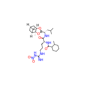 CC(C)C[C@H](NC(=O)[C@H](CCCNC(=N)N[N+](=O)[O-])NC(=O)C1CCCCC1C)B1O[C@@H]2C[C@@H]3C[C@@H](C3(C)C)[C@]2(C)O1